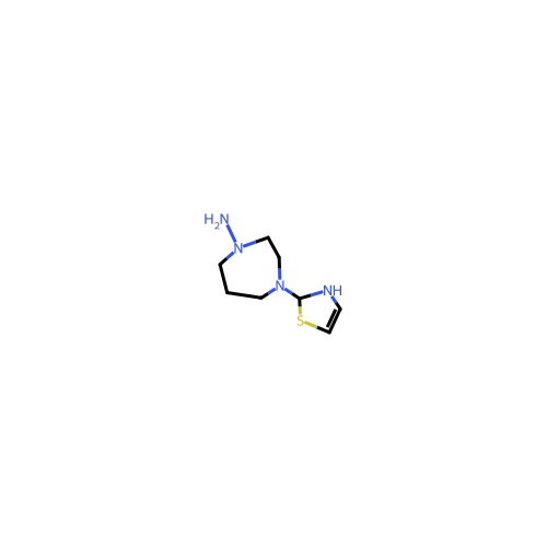 NN1CCCN(C2NC=CS2)CC1